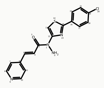 NN(C(=O)C=Cc1ccncc1)c1csc(-c2ccc(Cl)cc2)n1